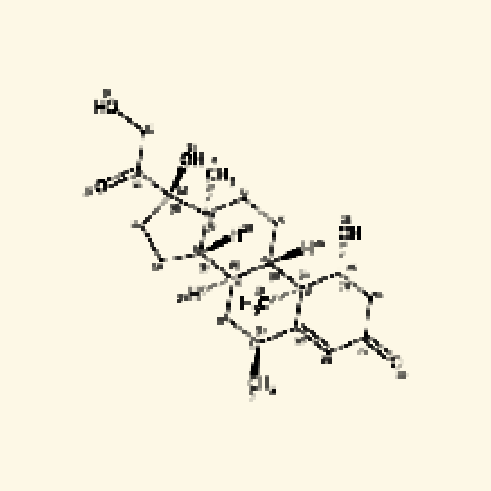 C[C@H]1C[C@@H]2[C@H](CC[C@@]3(C)[C@H]2CC[C@]3(O)C(=O)CO)[C@]2(C)C1=CC(=O)C[C@H]2O